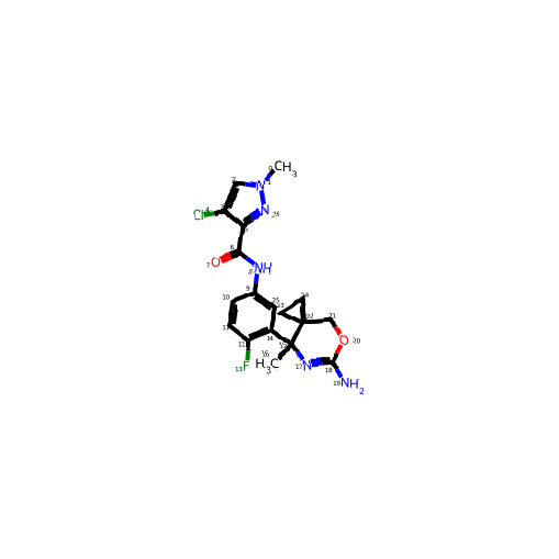 Cn1cc(Cl)c(C(=O)Nc2ccc(F)c(C3(C)N=C(N)OCC34CC4)c2)n1